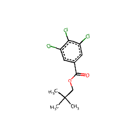 CC(C)(C)COC(=O)c1cc(Cl)c(Cl)c(Cl)c1